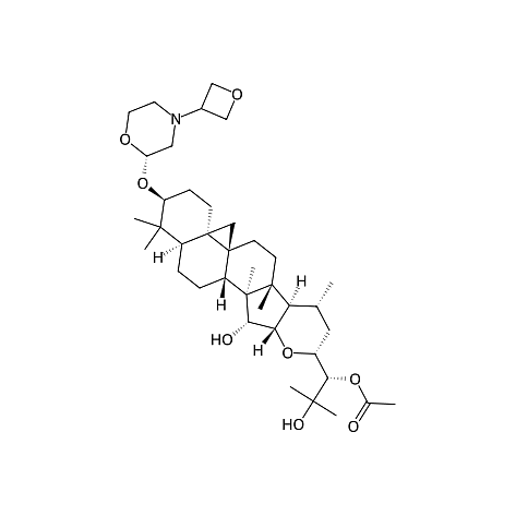 CC(=O)O[C@@H]([C@H]1C[C@@H](C)[C@H]2[C@H](O1)[C@H](O)[C@@]1(C)[C@@H]3CC[C@H]4C(C)(C)[C@@H](O[C@H]5CN(C6COC6)CCO5)CC[C@@]45C[C@@]35CC[C@]21C)C(C)(C)O